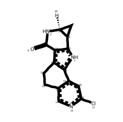 O=C1N[C@H]2CC2c2[nH]c3c(c21)CCc1cnc(Cl)cc1-3